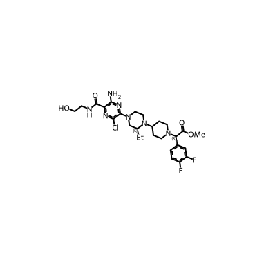 CC[C@H]1CN(c2nc(N)c(C(=O)NCCO)nc2Cl)CCN1C1CCN([C@@H](C(=O)OC)c2ccc(F)c(F)c2)CC1